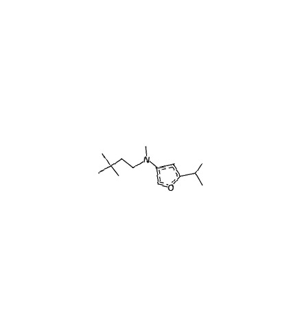 CC(C)c1cc(N(C)CCC(C)(C)C)co1